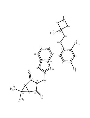 Cc1cc(Cl)cc(-c2ccnc3cc(CN4C(=O)C5C(C4=O)C5(C)C)sc23)c1OCC1(C)CNC1